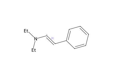 CCN(/[C]=C/c1ccccc1)CC